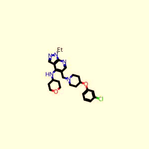 CCn1ncc2c(NC3CCOCC3)c(CN3CCC(Oc4cccc(Cl)c4)CC3)cnc21